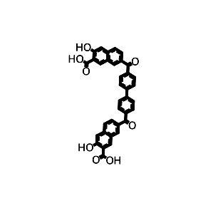 O=C(c1ccc(-c2ccc(C(=O)c3ccc4cc(O)c(C(=O)O)cc4c3)cc2)cc1)c1ccc2cc(O)c(C(=O)O)cc2c1